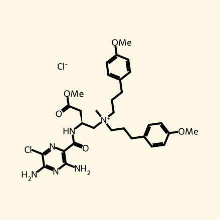 COC(=O)C[C@@H](C[N+](C)(CCCc1ccc(OC)cc1)CCCc1ccc(OC)cc1)NC(=O)c1nc(Cl)c(N)nc1N.[Cl-]